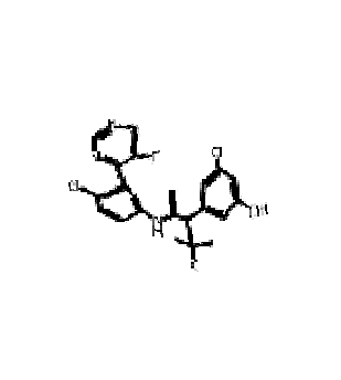 C=C(Nc1ccc(Cl)c(-c2ncncc2F)c1)C(c1cc(O)cc(Cl)c1)C(C)(C)Cl